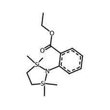 CCOC(=O)c1ccccc1N1[Si](C)(C)CC[Si]1(C)C